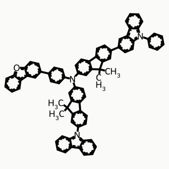 CC1(C)c2cc(-c3ccc4c(c3)c3ccccc3n4-c3ccccc3)ccc2-c2ccc(N(c3ccc(-c4ccc5oc6ccccc6c5c4)cc3)c3ccc4c(c3)C(C)(C)c3cc(-n5c6ccccc6c6ccccc65)ccc3-4)cc21